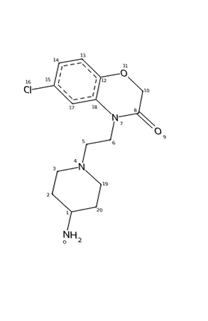 NC1CCN(CCN2C(=O)COc3ccc(Cl)cc32)CC1